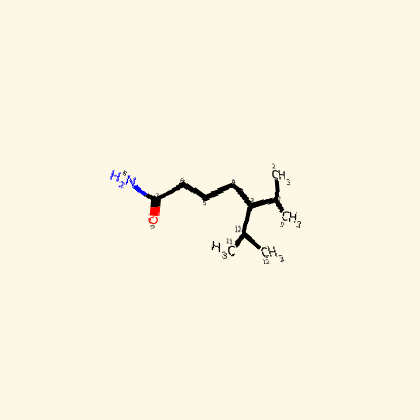 CC(C)C(CCCC(N)=O)C(C)C